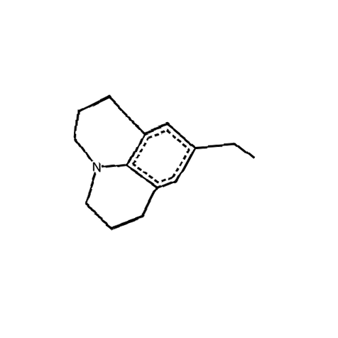 CCc1cc2c3c(c1)CCCN3CCC2